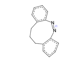 c1ccc2c(c1)CCCc1ccccc1/N=N\2